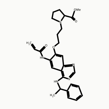 C=CC(=O)Nc1cc2c(NC(C)c3ccccc3)ncnc2cc1OCCCN1CCCC1C(=O)OC